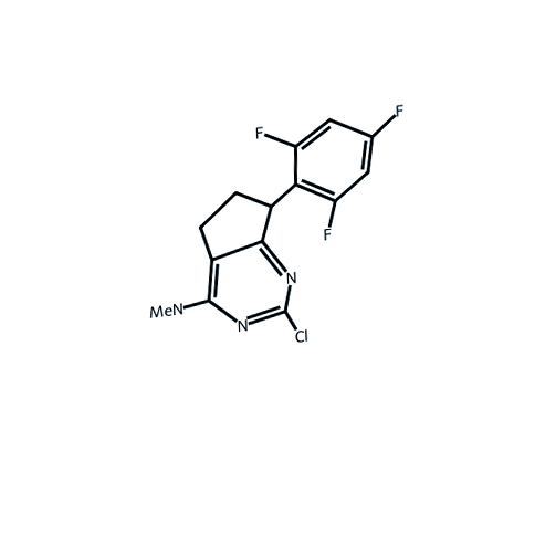 CNc1nc(Cl)nc2c1CCC2c1c(F)cc(F)cc1F